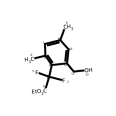 CCOC(=O)C(F)(F)c1c(C)cc(C)cc1CO